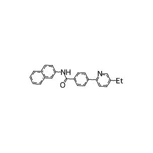 CCc1ccc(-c2ccc(C(=O)Nc3ccc4ccccc4c3)cc2)nc1